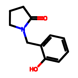 O=C1CCCN1Cc1ccccc1O